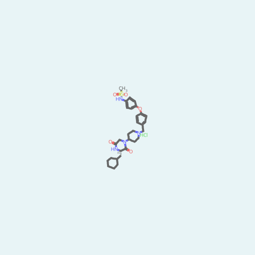 CS(=O)(=O)Nc1ccc(Oc2ccc(CN3CCC(N4CC(=O)N[C@@H](CC5CCCCC5)C4=O)CC3)cc2)cc1.Cl